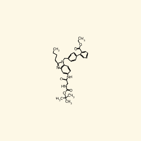 CCCCc1nc2cc(NC(=O)CNC(=O)OC(C)(C)C)ccc2n1Cc1ccc(-c2ccccc2C(=O)OCC)cc1